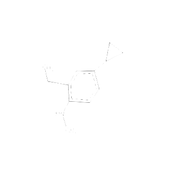 CCc1cc(C2CC2)ccc1NC